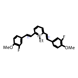 CC[n+]1c(/C=C/c2ccc(OC)c(F)c2)cccc1/C=C/c1ccc(OC)c(F)c1